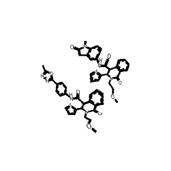 COCCN1C(=O)c2ccccc2C(C(=O)Nc2ccc(-c3nnc(C)o3)cc2)C1c1cccs1.COCCN1C(=O)c2ccccc2C(C(=O)Nc2ccc3c(c2)CC(=O)N3C)C1c1cccs1